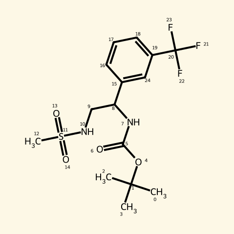 CC(C)(C)OC(=O)NC(CNS(C)(=O)=O)c1cccc(C(F)(F)F)c1